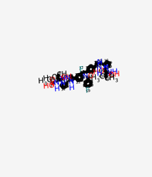 COC(O)N[C@@H](C(C)C)C(O)N1CCC[C@H]1C1NCC(C2=CCC3C(C2)C(F)C2C4CCC(C5CN=C([C@@H]6CCCN6C(O)[C@@H](NO)C(C)C)N5)CC4OC(C4=CCC(F)CC4)N32)N1